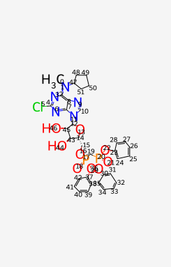 CN(c1nc(Cl)nc2c1ncn2[C@@H]1O[C@H](COP(=O)(CP(=O)(Oc2ccccc2)Oc2ccccc2)Oc2ccccc2)[C@@H](O)[C@H]1O)C1CCCC1